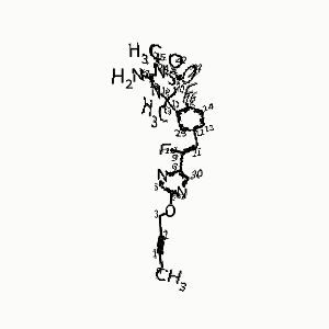 CC#CCOc1cnc(C(F)=Cc2ccc(F)c(C3(C)CS(=O)(=O)N(C)C(N)=N3)c2)cn1